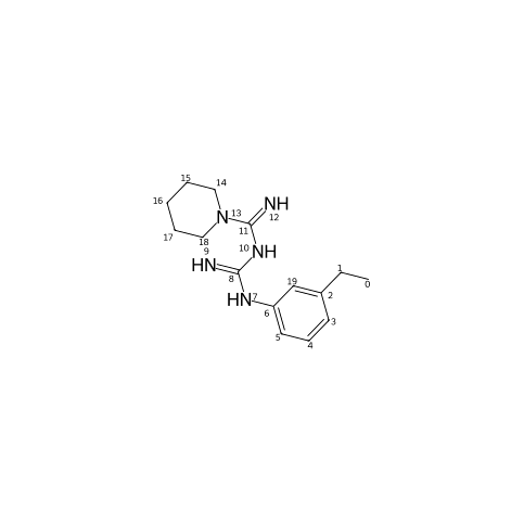 CCc1cccc(NC(=N)NC(=N)N2CCCCC2)c1